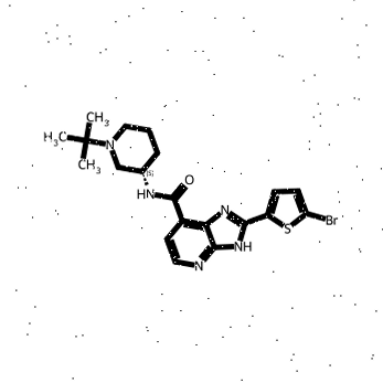 CC(C)(C)N1CCC[C@H](NC(=O)c2ccnc3[nH]c(-c4ccc(Br)s4)nc23)C1